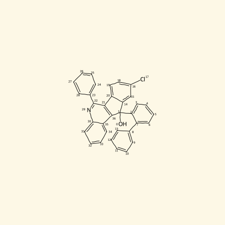 OC1(c2ccccc2-c2ccccc2)c2cc(Cl)ccc2-c2c(-c3ccccc3)nc3ccccc3c21